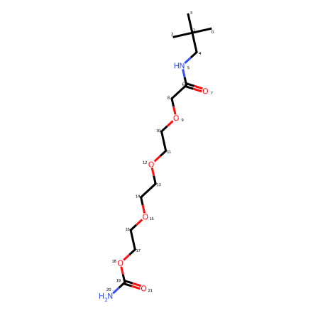 CC(C)(C)CNC(=O)COCCOCCOCCOC(N)=O